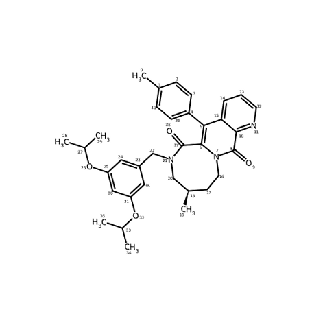 Cc1ccc(-c2c3n(c(=O)c4ncccc24)CC[C@@H](C)CN(Cc2cc(OC(C)C)cc(OC(C)C)c2)C3=O)cc1